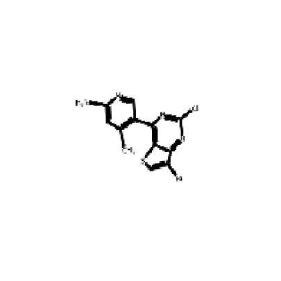 Cc1cc(N)ncc1-c1nc(Cl)nc2c(Br)csc12